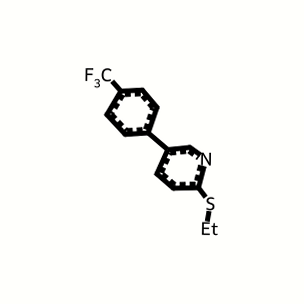 CCSc1ccc(-c2ccc(C(F)(F)F)cc2)cn1